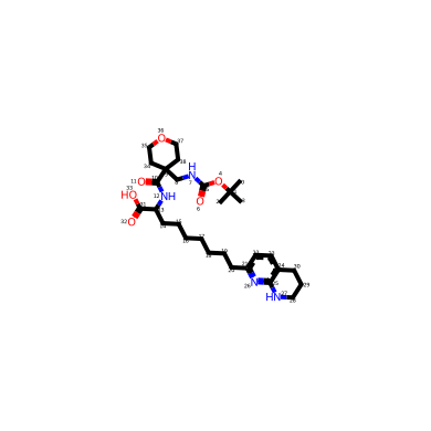 CC(C)(C)OC(=O)NCC1(C(=O)NC(CCCCCCCc2ccc3c(n2)NCCC3)C(=O)O)CCOCC1